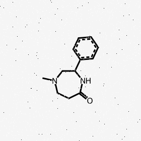 CN1CCC(=O)NC(c2ccccc2)C1